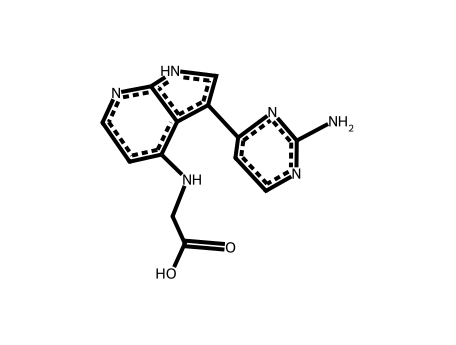 Nc1nccc(-c2c[nH]c3nccc(NCC(=O)O)c23)n1